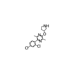 Cc1nc(-c2ccc(Cl)cc2Cl)c(C)nc1OC1CCNC1